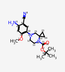 COc1cc(N)c(C#N)cc1N1CCN(C(=O)OC(C)(C)C)C2(CC2)C1